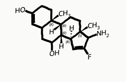 C[C@]12CCC(O)=CC1CC(O)[C@@H]1[C@H]2CC[C@]2(C)C(N)C(F)=C[C@@H]12